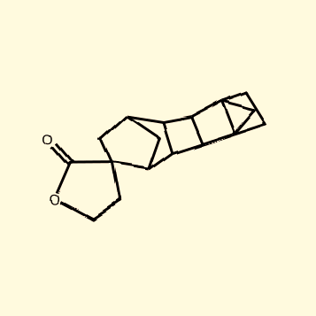 O=C1OCCC12CC1CC2C2C1C1C2C23CCC12C3